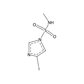 CNS(=O)(=O)n1cnc(I)c1